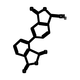 C=C1OC(=O)c2cc(-c3cccc4c3C(=O)OC4=O)ccc21